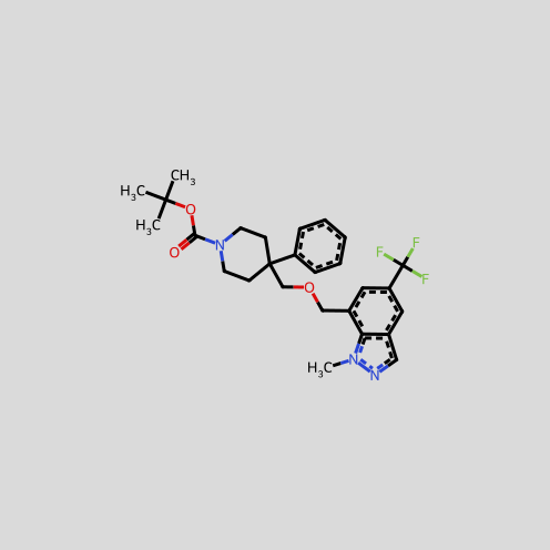 Cn1ncc2cc(C(F)(F)F)cc(COCC3(c4ccccc4)CCN(C(=O)OC(C)(C)C)CC3)c21